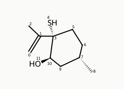 C=C(C)[C@@]1(S)CC[C@H](C)C[C@H]1O